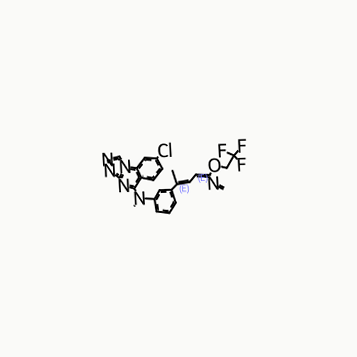 C=N/C(=C\C=C(/C)c1cccc(N(C)c2nc3nncn3c3cc(Cl)ccc23)c1)OCC(F)(F)F